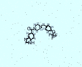 O=C(c1ccc2[nH]cnc2c1)N1CCN(Cc2ccc(OC(F)(F)F)cc2)CC1